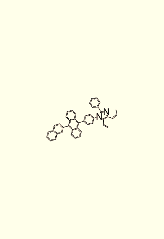 C=Cc1c(/C=C\C)nc(-c2ccccc2)n1-c1ccc(-c2c3ccccc3c(-c3ccc4ccccc4c3)c3ccccc23)cc1